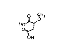 COC(CC(=O)O)C(=O)O